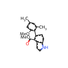 COC(=O)c1c(-c2c(C)[c]c(C)cc2OC)ccc2[nH]ccc12